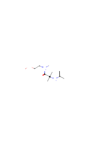 COCCN(C)C(=O)C(C)(C)NC(C)C